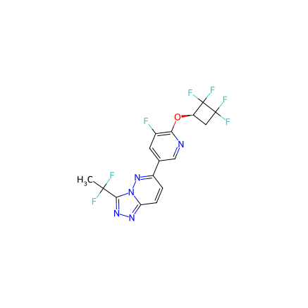 CC(F)(F)c1nnc2ccc(-c3cnc(O[C@@H]4CC(F)(F)C4(F)F)c(F)c3)nn12